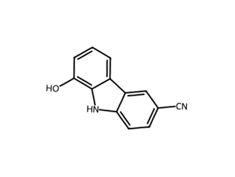 N#Cc1ccc2[nH]c3c(O)cccc3c2c1